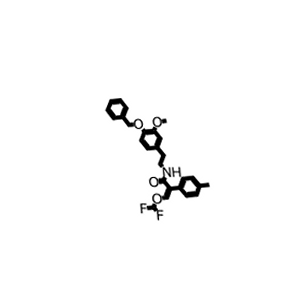 COc1cc(CCNC(=O)/C(=C\OC(F)F)c2ccc(C)cc2)ccc1OCc1ccccc1